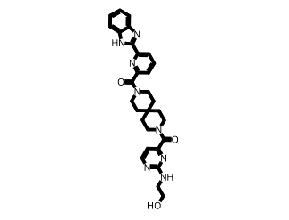 O=C(c1cccc(-c2nc3ccccc3[nH]2)n1)N1CCC2(CC1)CCN(C(=O)c1ccnc(NCCO)n1)CC2